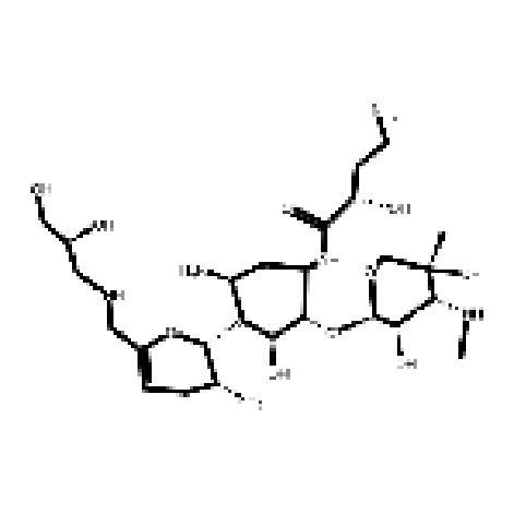 CN[C@@H]1[C@@H](O)[C@@H](O[C@H]2[C@H](NC(=O)[C@@H](O)CCN)C[C@H](N)C([C@H]3OC(CNC[C@H](O)CO)=CC[C@H]3N)[C@@H]2O)OC[C@]1(C)O